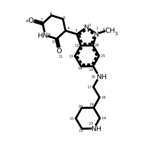 Cn1nc(C2CCC(=O)NC2=O)c2ccc(NCCC3CCCNC3)cc21